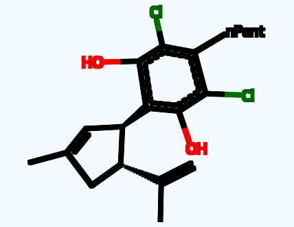 C=C(C)[C@@H]1CC(C)=C[C@H]1c1c(O)c(Cl)c(CCCCC)c(Cl)c1O